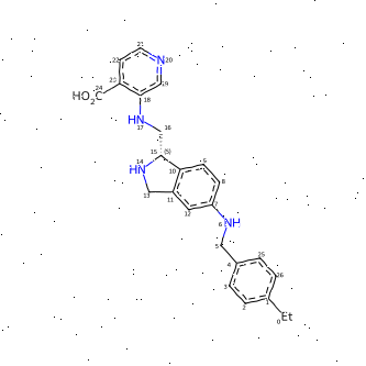 CCc1ccc(CNc2ccc3c(c2)CN[C@@H]3CNc2cnccc2C(=O)O)cc1